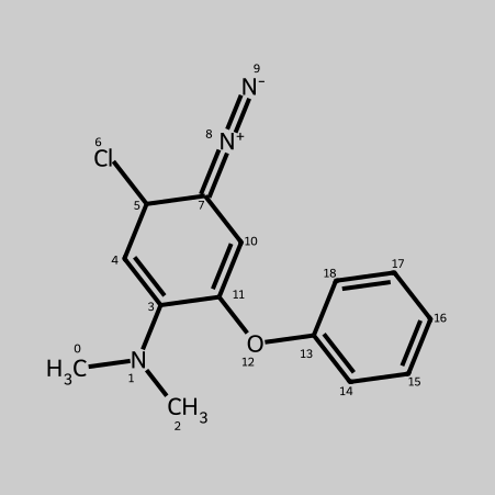 CN(C)C1=CC(Cl)C(=[N+]=[N-])C=C1Oc1ccccc1